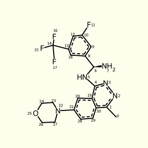 Cc1nnc(N[C@H](N)c2cc(F)cc(C(F)(F)F)c2)c2cc(N3CCOCC3)ccc12